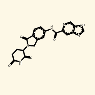 O=C1CCC(N2Cc3cc(NC(=O)c4cc5nc[nH]c5cn4)ccc3C2=O)C(=O)N1